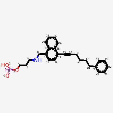 O=[PH](O)OCCCNCc1ccc(C#CCCCCc2ccccc2)c2ccccc12